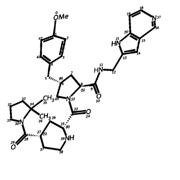 COc1ccc(C[C@@H]2C[C@@H](C(=O)NCc3cc4cnccc4[nH]3)N(C(=O)[C@H]3C[C@@H](C(=O)N4CCCC4(C)C)CCN3)C2)cc1